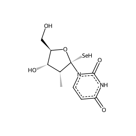 C[C@@H]1[C@H](O)[C@@H](CO)O[C@@]1([SeH])n1ccc(=O)[nH]c1=O